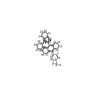 C/C=C(\C=C/[C@@H]1CCC1C)c1c2ccccc2c(-c2nc3ccccc3n2-c2ccccc2)c2ccccc12